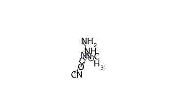 CC1CCCN(/C(=N\c2ccc(OCCCC#N)cc2)NCCCN)C1